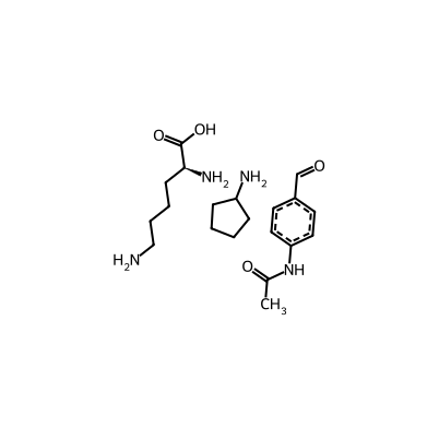 CC(=O)Nc1ccc(C=O)cc1.NC1CCCC1.NCCCC[C@H](N)C(=O)O